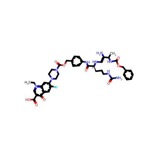 CCn1cc(C(=O)O)c(=O)c2cc(F)c(N3CCN(C(=O)OCc4ccc(NC(=O)[C@H](CCCNC(N)=O)N/C=C(\N)C(C)NC(=O)OCc5ccccc5)cc4)CC3)cc21